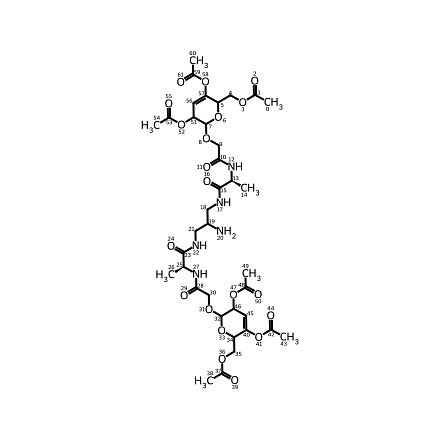 CC(=O)OCC1OC(OCC(=O)N[C@@H](C)C(=O)NCC(N)CNC(=O)[C@H](C)NC(=O)COC2OC(COC(C)=O)C(OC(C)=O)=CC2OC(C)=O)C(OC(C)=O)C=C1OC(C)=O